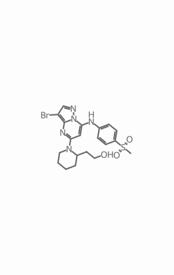 CS(=O)(=O)c1ccc(Nc2cc(N3CCCCC3CCO)nc3c(Br)cnn23)cc1